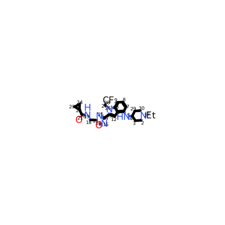 CCN1CCC(Nc2cccc3c2cc(-c2noc(CNC(=O)C4CC4)n2)n3CC(F)(F)F)CC1